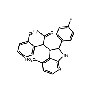 NC(=O)C(c1ccccc1O)N1c2c(C(=O)O)ccnc2NC1c1ccc(F)cc1